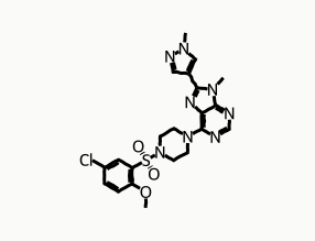 COc1ccc(Cl)cc1S(=O)(=O)N1CCN(c2ncnc3c2nc(-c2cnn(C)c2)n3C)CC1